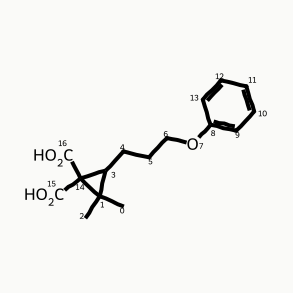 CC1(C)C(CCCOc2ccccc2)C1(C(=O)O)C(=O)O